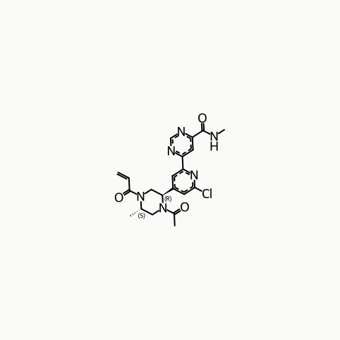 C=CC(=O)N1C[C@@H](c2cc(Cl)nc(-c3cc(C(=O)NC)ncn3)c2)N(C(C)=O)C[C@@H]1C